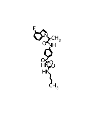 CCCCNC(=O)NS(=O)(=O)c1ccc(NC(=O)[C@@H](C)n2ccc3c(F)cccc32)cc1